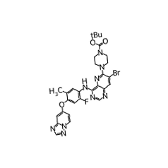 Cc1cc(Nc2ncnc3cc(Br)c(N4CCN(C(=O)OC(C)(C)C)CC4)nc23)c(F)cc1Oc1ccn2ncnc2c1